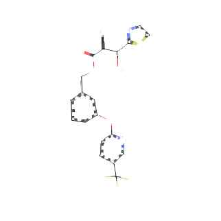 C=C(C(=O)OCc1cccc(Oc2ccc(C(F)(F)F)cn2)c1)C(O)c1nccs1